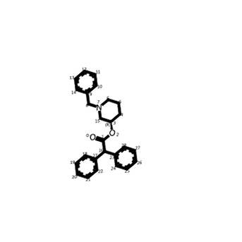 O=C(O[C@@H]1CCCN(Cc2ccccc2)C1)C(c1ccccc1)c1ccccc1